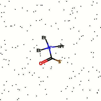 CCC[N+](CC)(CC)C(=O)[S-]